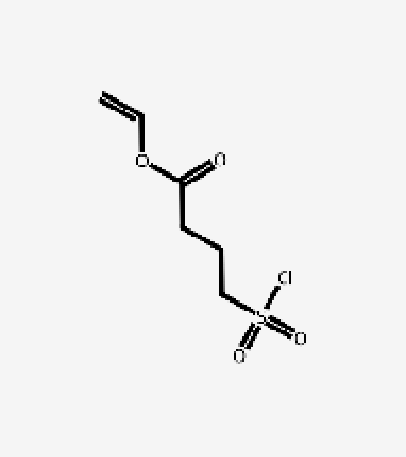 C=COC(=O)CCCS(=O)(=O)Cl